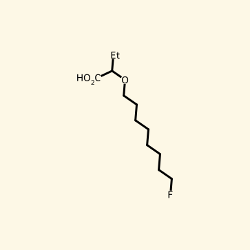 CCC(OCCCCCCCCF)C(=O)O